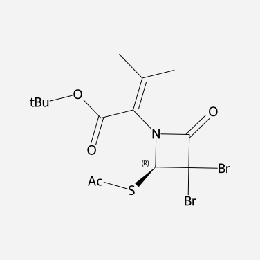 CC(=O)S[C@H]1N(C(C(=O)OC(C)(C)C)=C(C)C)C(=O)C1(Br)Br